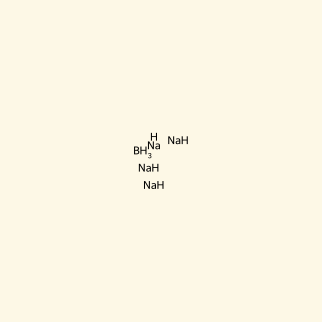 B.[NaH].[NaH].[NaH].[NaH]